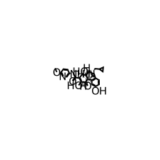 COc1ccc(NC(=O)C2=C(O)[C@@H]3Oc4c(O)ccc5c4[C@@]34CCN(CC3CC3)[C@H](C5)[C@]4(O)C2)cn1